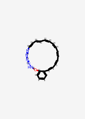 C1=C\C=C/C=C\c2ccccc2ON\N=N/N=N\C=C/C=C/C=C\C=C/1